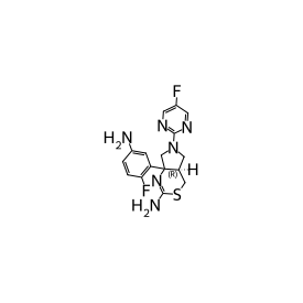 NC1=NC2(c3cc(N)ccc3F)CN(c3ncc(F)cn3)C[C@H]2CS1